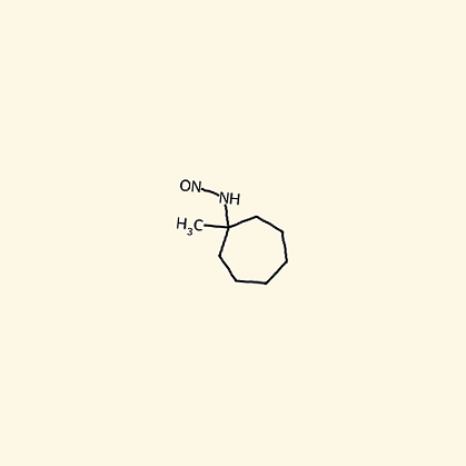 CC1(NN=O)CCCCCC1